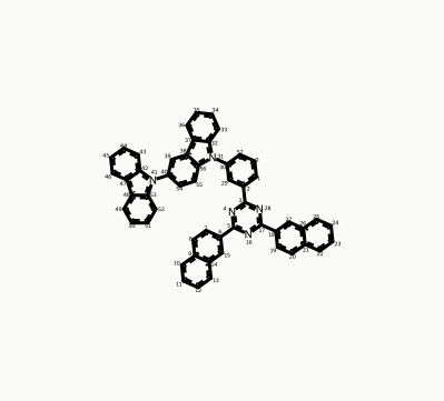 c1cc(-c2nc(-c3ccc4ccccc4c3)nc(-c3ccc4ccccc4c3)n2)cc(-n2c3ccccc3c3cc(-n4c5ccccc5c5ccccc54)ccc32)c1